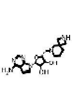 Nc1ncnc2c1ccn2[C@@H]1O[C@H](CN2CCCC3(CNC3)C2)[C@@H](O)[C@H]1O